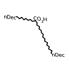 CCCCCCCCCCCCCCCCCCCCCCCCCCC(CCCCCCCCCCCCCCCCCC)C(=O)O